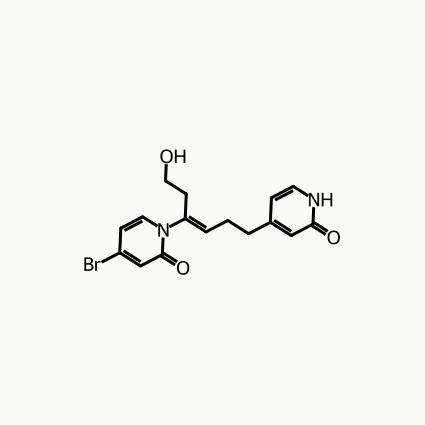 O=c1cc(CC/C=C(\CCO)n2ccc(Br)cc2=O)cc[nH]1